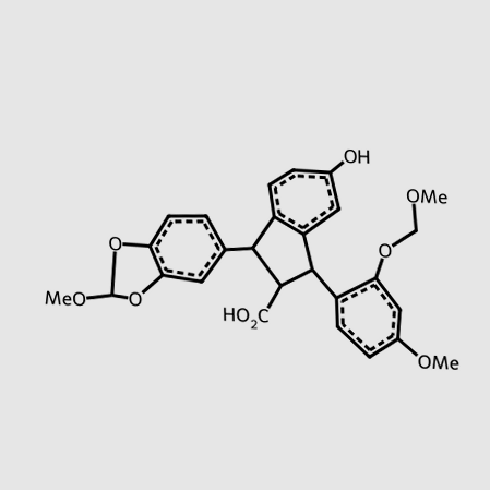 COCOc1cc(OC)ccc1C1c2cc(O)ccc2C(c2ccc3c(c2)OC(OC)O3)C1C(=O)O